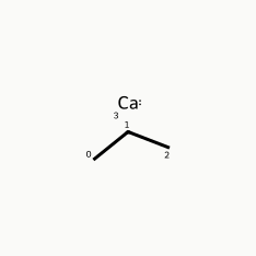 CCC.[Ca]